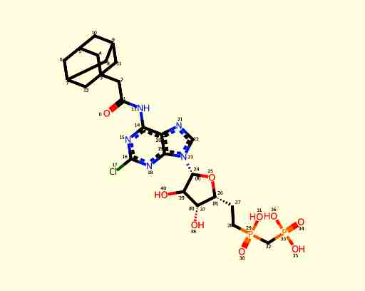 O=C(CC12CC3CC(CC(C3)C1)C2)Nc1nc(Cl)nc2c1ncn2[C@@H]1O[C@H](CCP(=O)(O)CP(=O)(O)O)[C@H](O)C1O